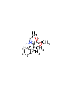 CCN(Cc1ccccc1)[C@H](C(=O)OC)C(C)(C)C